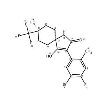 Cc1cc(F)c(Br)cc1C1=C(O)[C@]2(CC[C@](O)(C(F)(F)F)CC2)NC1=O